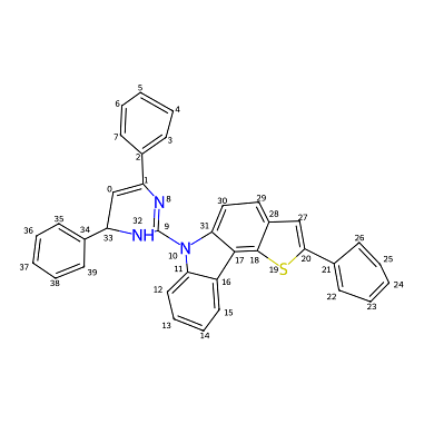 C1=C(c2ccccc2)N=C(n2c3ccccc3c3c4sc(-c5ccccc5)cc4ccc32)NC1c1ccccc1